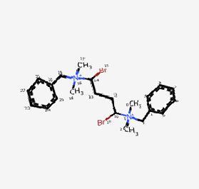 C[N+](C)(Cc1ccccc1)C(Br)CCC(Br)[N+](C)(C)Cc1ccccc1